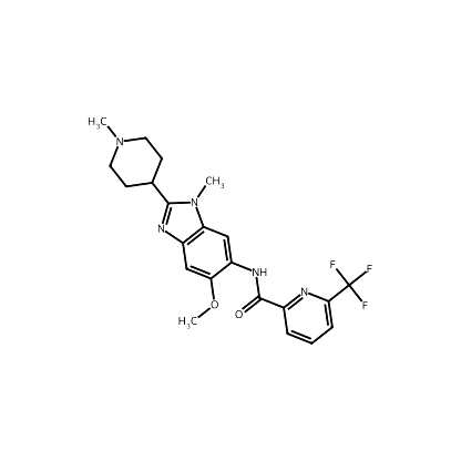 COc1cc2nc(C3CCN(C)CC3)n(C)c2cc1NC(=O)c1cccc(C(F)(F)F)n1